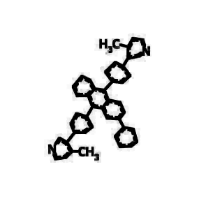 Cc1ccncc1-c1ccc(-c2c3ccccc3c(-c3ccc(-c4cnccc4C)cc3)c3cc(-c4ccccc4)ccc23)cc1